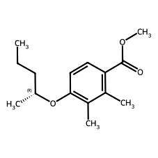 CCC[C@@H](C)Oc1ccc(C(=O)OC)c(C)c1C